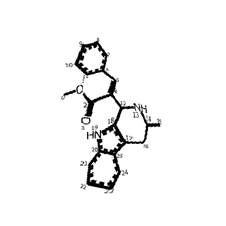 COC(=O)/C(=C\c1ccccc1)C1NC(C)Cc2c1[nH]c1ccccc21